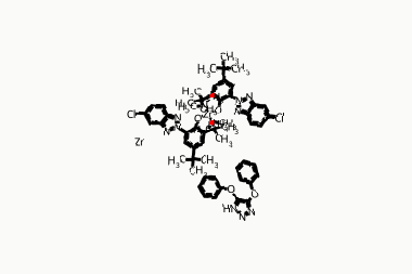 C[N](C)[Zr]([O]c1c(-n2nc3ccc(Cl)cc3n2)cc(C(C)(C)C)cc1C(C)(C)C)([O]c1c(-n2nc3ccc(Cl)cc3n2)cc(C(C)(C)C)cc1C(C)(C)C)[N](C)C.[Zr].c1ccc(Oc2nn[nH]c2Oc2ccccc2)cc1